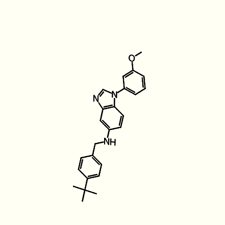 COc1cccc(-n2cnc3cc(NCc4ccc(C(C)(C)C)cc4)ccc32)c1